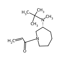 C=CC(=O)N1CCCC[C@@H](N(C)C(C)(C)C)C1